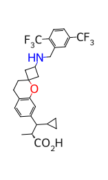 C[C@H](C(=O)O)C(c1ccc2c(c1)OC1(CC2)CC(NCc2cc(C(F)(F)F)ccc2C(F)(F)F)C1)C1CC1